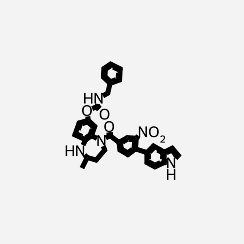 CC1CCN(C(=O)c2ccc(-c3ccc4[nH]ccc4c3)c([N+](=O)[O-])c2)c2cc(OC(=O)NCc3ccccc3)ccc2N1